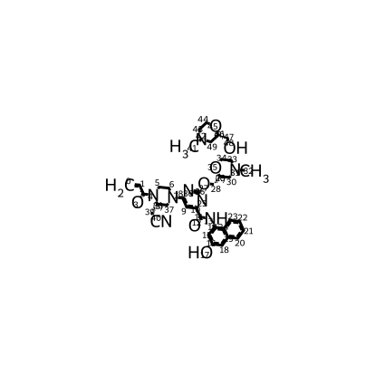 C=CC(=O)N1CCN(c2cc(C(=O)Nc3cc(O)cc4ccccc34)nc(OC[C@H]3CN(C)CCO3)n2)C[C@@H]1CC#N.CN1CCO[C@@H](CO)C1